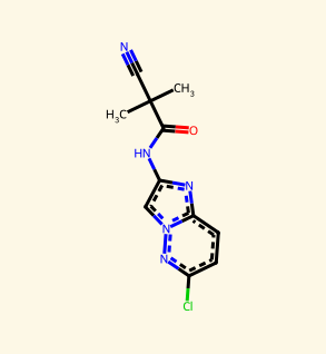 CC(C)(C#N)C(=O)Nc1cn2nc(Cl)ccc2n1